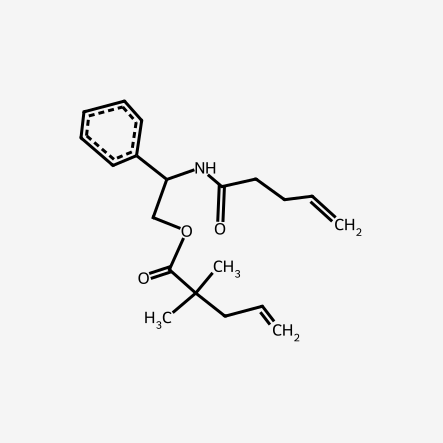 C=CCCC(=O)NC(COC(=O)C(C)(C)CC=C)c1ccccc1